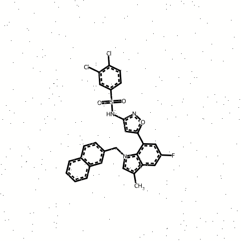 Cc1cn(Cc2ccc3ccccc3c2)c2c(-c3cc(NS(=O)(=O)c4ccc(Cl)c(Cl)c4)no3)cc(F)cc12